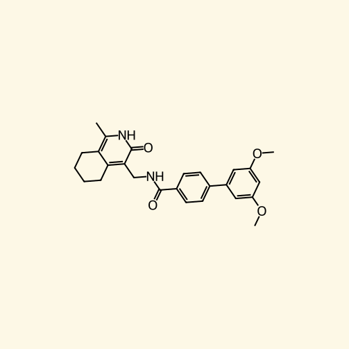 COc1cc(OC)cc(-c2ccc(C(=O)NCc3c4c(c(C)[nH]c3=O)CCCC4)cc2)c1